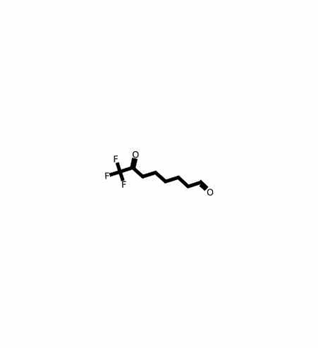 O=[C]CCCCCC(=O)C(F)(F)F